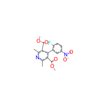 COC(=O)c1c(C)nc(C)c(C(=O)OC)c1-c1cc([N+](=O)[O-])ccc1F